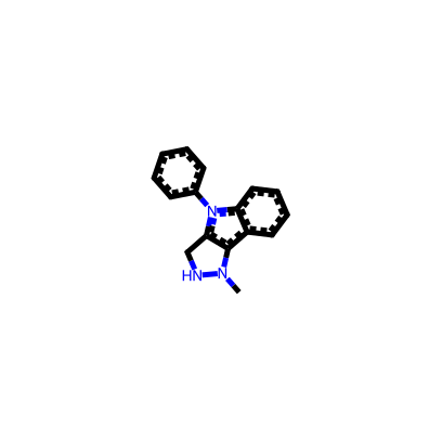 CN1NCc2c1c1ccccc1n2-c1ccccc1